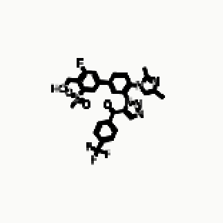 Cc1cn(-c2ccc(-c3cc(F)c(CO)c(S(C)(=O)=O)c3)cc2-n2nncc2C(=O)c2ccc(C(F)(F)F)cc2)c(C)n1